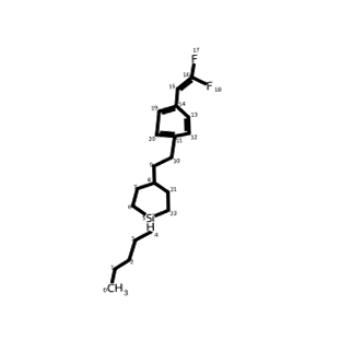 CCCCC[SiH]1CCC(CCc2ccc(C=C(F)F)cc2)CC1